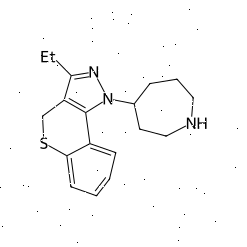 CCc1nn(C2CCCNCC2)c2c1CSc1ccccc1-2